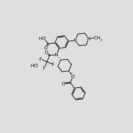 CN1CCN(c2ccc(C(=O)O)c(N(C(=O)C(F)(F)F)[C@H]3CC[C@H](OC(=O)c4ccccc4)CC3)c2)CC1.Cl